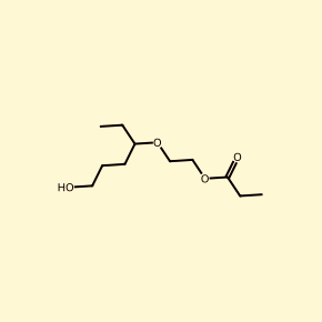 CCC(=O)OCCOC(CC)CCCO